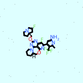 Cc1nc(N)cc(-c2nc3c4c(nc(OC[C@@]56CCCN5C[C@H](F)C6)nc4c2F)N2CCCC[C@H]2CO3)c1C(F)(F)F